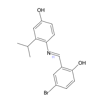 CC(C)c1cc(O)ccc1/N=C/c1cc(Br)ccc1O